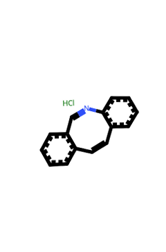 C1=Cc2ccccc2N=Cc2ccccc21.Cl